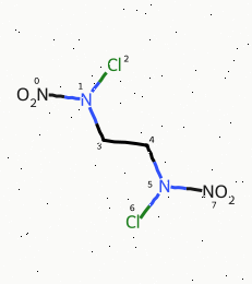 O=[N+]([O-])N(Cl)CCN(Cl)[N+](=O)[O-]